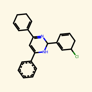 ClC1C=C(C2N=C(C3=CCCC=C3)C=C(c3ccccc3)N2)C=CC1